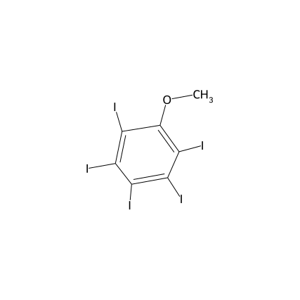 COc1c(I)c(I)c(I)c(I)c1I